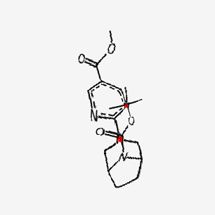 COC(=O)c1cnc(N2CC3CCC(C2)N3C(=O)OC(C)(C)C)nc1